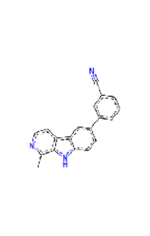 Cc1nccc2c1[nH]c1ccc(-c3cccc(C#N)c3)cc12